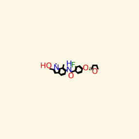 Cc1c(NC(=O)c2ccc(OC[C@@H]3CCCO3)cc2F)ccc2cc(CO)n(C)c12